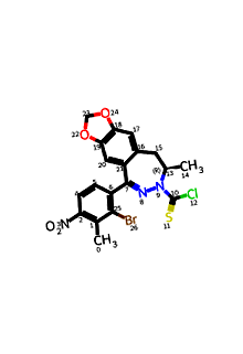 Cc1c([N+](=O)[O-])ccc(C2=NN(C(=S)Cl)[C@H](C)Cc3cc4c(cc32)OCO4)c1Br